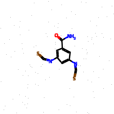 NC(=O)c1cc(N=C=S)cc(N=C=S)c1